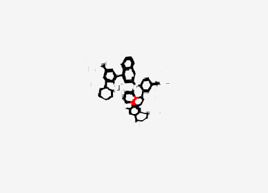 CC(C)(C)c1ccc(N2c3cc4c(cc3B3c5c2cc2ccccc2c5-c2cc(C(C)(C)C)cc5c2N3C2(C)CCCCC52C)sc2cc3c(cc24)C(C)(C)CCC3(C)C)c(-c2ccccc2)c1